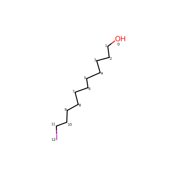 OCCCCCCCCCCCI